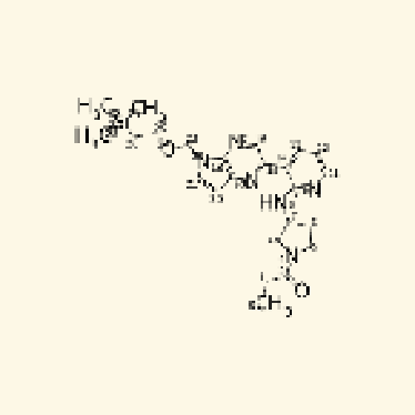 CCC(=O)N1CCC(Nc2ncccc2-c2cnc3c(ccn3COCC[Si](C)(C)C)n2)C1